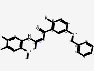 COc1cc(Br)c(F)cc1N/C(C)=C\C(=O)c1cc(SCc2ccccc2)ccc1F